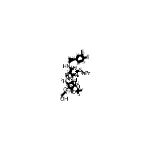 [2H]C1[C@H](OCCO)[C@@]2([2H])OC(C)(C)O[C@@]2([2H])[C@]1([2H])n1nnc2c(N[C@@H]3C[C@H]3c3ccc(F)c(F)c3)nc(SCCC)nc21